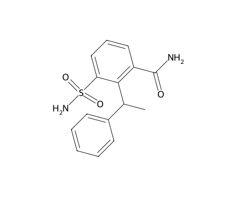 CC(c1ccccc1)c1c(C(N)=O)cccc1S(N)(=O)=O